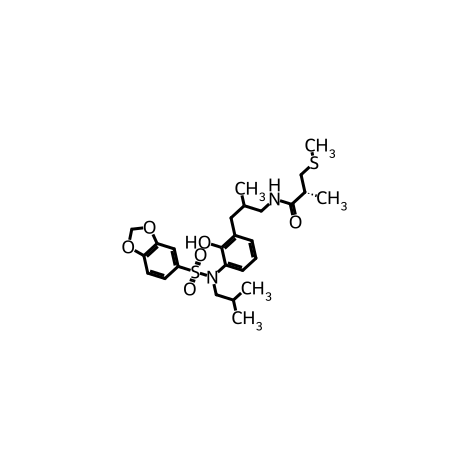 CSC[C@H](C)C(=O)NCC(C)Cc1cccc(N(CC(C)C)S(=O)(=O)c2ccc3c(c2)OCO3)c1O